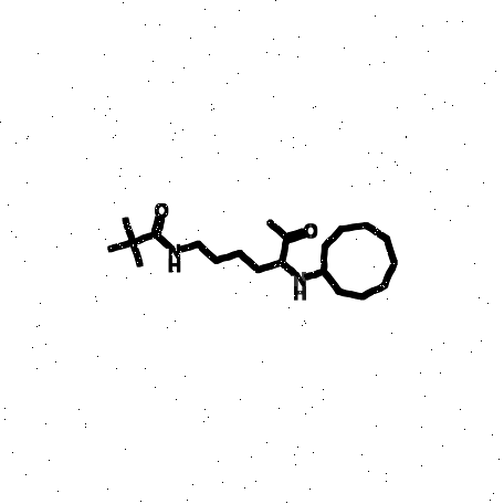 CC(=O)C(CCCCNC(=O)C(C)(C)C)NC1CCCCCCCC1